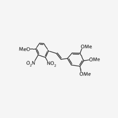 COc1cc(C=Cc2ccc(OC)c([N+](=O)[O-])c2[N+](=O)[O-])cc(OC)c1OC